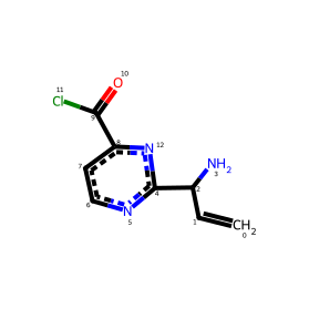 C=CC(N)c1nccc(C(=O)Cl)n1